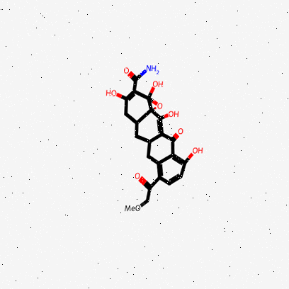 COCC(=O)c1ccc(O)c2c1CC1CC3CC(O)=C(C(N)=O)C4(O)O[C@]34C(O)=C1C2=O